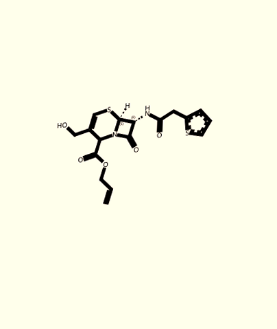 C=CCOC(=O)C1C(CO)=CS[C@H]2[C@H](NC(=O)Cc3cccs3)C(=O)N12